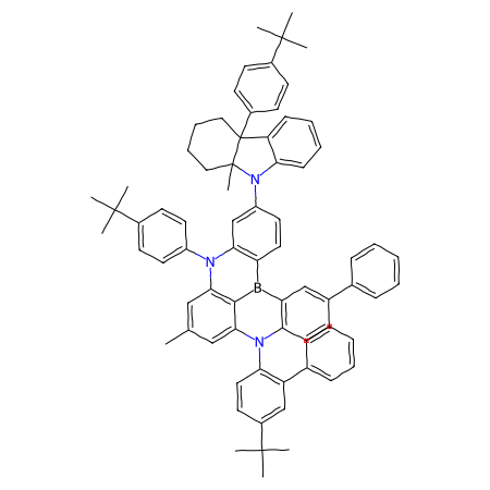 Cc1cc2c3c(c1)N(c1ccc(C(C)(C)C)cc1-c1ccccc1)c1ccc(-c4ccccc4)cc1B3c1ccc(N3c4ccccc4C4(c5ccc(C(C)(C)C)cc5)CCCCC34C)cc1N2c1ccc(C(C)(C)C)cc1